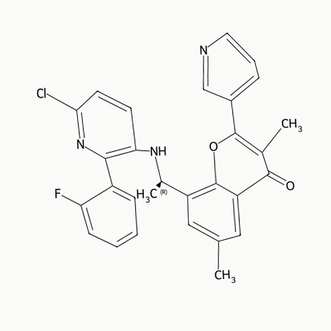 Cc1cc([C@@H](C)Nc2ccc(Cl)nc2-c2ccccc2F)c2oc(-c3cccnc3)c(C)c(=O)c2c1